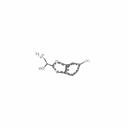 Cc1ccc2nc(C(C)O)oc2c1